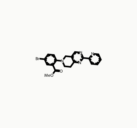 COC(=O)c1cc(Br)ccc1N1CCc2nc(-c3ccccn3)ncc2C1